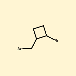 CC(=O)CC1CCC1Br